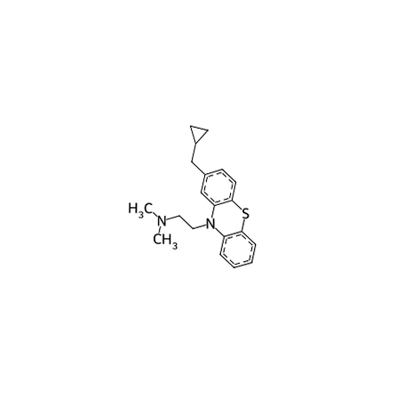 CN(C)CCN1c2ccccc2Sc2ccc(CC3CC3)cc21